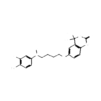 Cc1cc([S+]([O-])CCCCOc2ccc3c(c2)C(C)(C)OC(=O)N3)ccc1Br